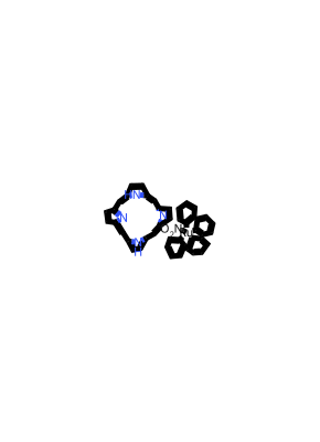 C1=Cc2cc3ccc(cc4nc(cc5ccc(cc1n2)[nH]5)C=C4)[nH]3.O=[N+]([O-])[Ru]([c]1ccccc1)([c]1ccccc1)([c]1ccccc1)[c]1ccccc1